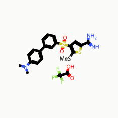 CSc1sc(C(=N)N)cc1S(=O)(=O)c1cccc(-c2ccc(N(C)C)cc2)c1.O=C(O)C(F)(F)F